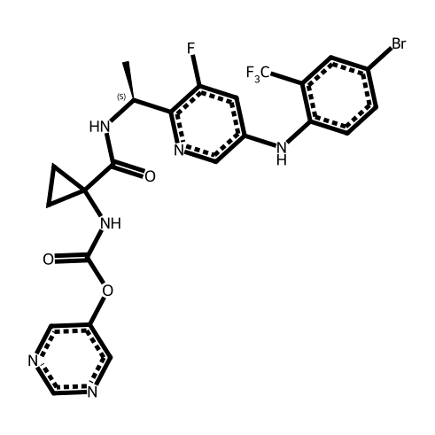 C[C@H](NC(=O)C1(NC(=O)Oc2cncnc2)CC1)c1ncc(Nc2ccc(Br)cc2C(F)(F)F)cc1F